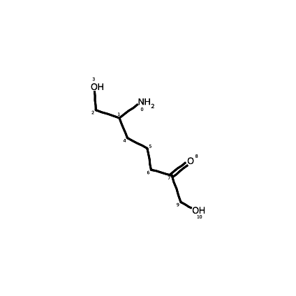 NC(CO)CCCC(=O)CO